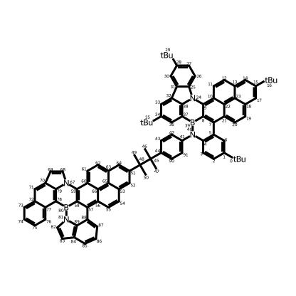 CC(C)(C)c1ccc2c(c1)-c1c3c(c4ccc5cc(C(C)(C)C)cc6ccc1c4c65)-n1c4ccc(C(C)(C)C)cc4c4cc(C(C)(C)C)cc(c41)B3N2c1ccc(C(C)(C)C(C)(C)c2cc3ccc4c5c6c(c7ccc(c2)c3c47)-n2ccc3cc4ccccc4c(c32)B6n2ccc3cccc-5c32)cc1